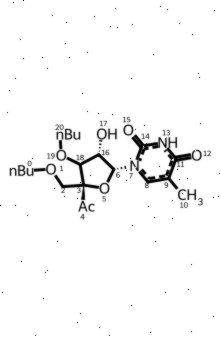 CCCCOC[C@@]1(C(C)=O)O[C@@H](n2cc(C)c(=O)[nH]c2=O)[C@@H](O)C1OCCCC